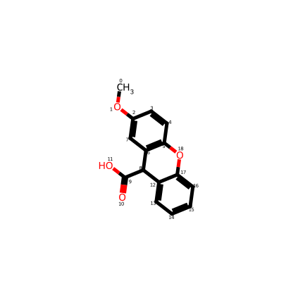 COc1ccc2c(c1)C(C(=O)O)c1ccccc1O2